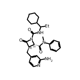 CCC(NC(=O)N1C(=O)[C@H](Cc2ccnc(N)c2)[C@H]1C(=O)N(C)c1ccccc1)C1CCCCC1